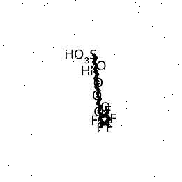 O=C(CCS(=O)(=O)O)NCCOCCOCCC(=O)Oc1c(F)c(F)c(F)c(F)c1F